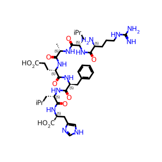 CC(C)C[C@H](NC(=O)[C@H](Cc1ccccc1)NC(=O)[C@H](CCC(=O)O)NC(=O)[C@H](C)NC(=O)[C@H](CC(C)C)NC(=O)[C@@H](N)CCCNC(=N)N)C(=O)N[C@@H](Cc1c[nH]cn1)C(=O)O